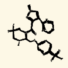 C[C@@H]1CC(F)(F)CN(C(=O)c2nn(C)cc2-c2ncccn2)C1COc1cnc(C(F)(F)F)cn1